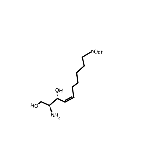 CCCCCCCCCCCCC/C=C\[C@@H](O)[C@@H](N)CO